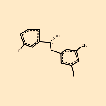 O[C@H]([CH]c1cc(F)cc(C(F)(F)F)c1)c1cccc(F)c1